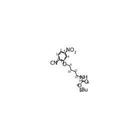 [C-]#[N+]c1ccc([N+](=O)[O-])cc1OCCCCNC(=O)OC(C)(C)C